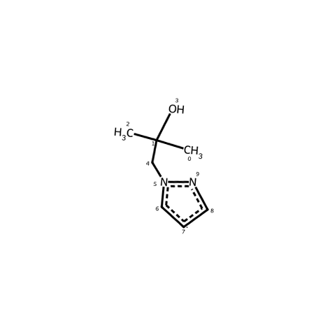 CC(C)(O)Cn1c[c]cn1